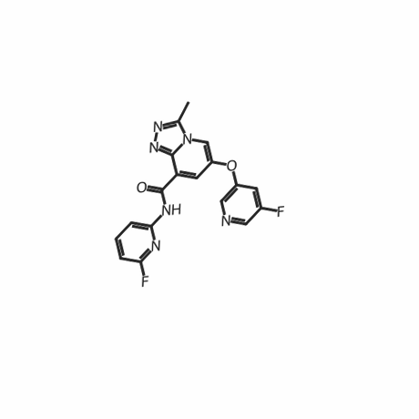 Cc1nnc2c(C(=O)Nc3cccc(F)n3)cc(Oc3cncc(F)c3)cn12